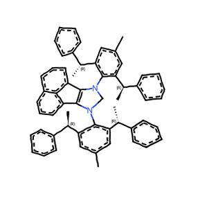 Cc1cc([C@H](C)c2ccccc2)c(N2CN(c3c([C@H](C)c4ccccc4)cc(C)cc3[C@H](C)c3ccccc3)C3=C2c2cccc4cccc3c24)c([C@H](C)c2ccccc2)c1